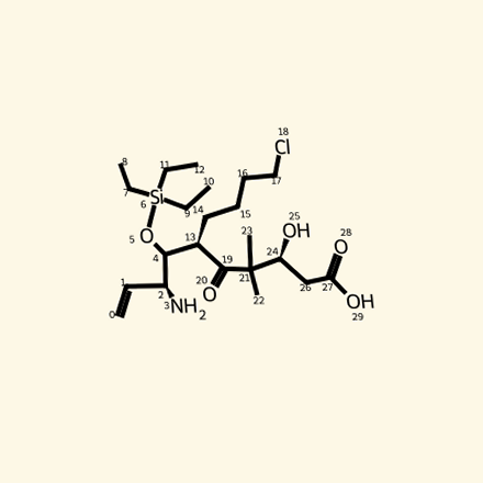 C=C[C@H](N)C(O[Si](CC)(CC)CC)[C@@H](CCCCCl)C(=O)C(C)(C)[C@@H](O)CC(=O)O